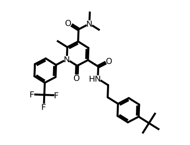 Cc1c(C(=O)N(C)C)cc(C(=O)NCCc2ccc(C(C)(C)C)cc2)c(=O)n1-c1cccc(C(F)(F)F)c1